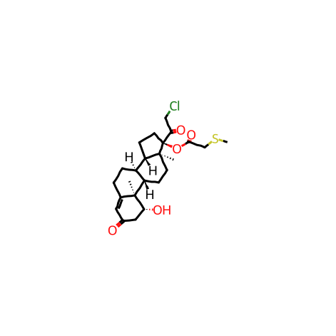 CSCC(=O)O[C@]1(C(=O)CCl)CC[C@H]2[C@@H]3CCC4=CC(=O)C[C@@H](O)[C@]4(C)[C@H]3CC[C@@]21C